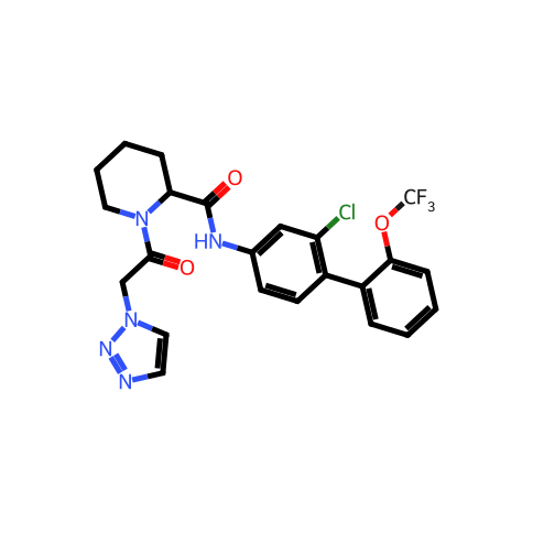 O=C(Nc1ccc(-c2ccccc2OC(F)(F)F)c(Cl)c1)C1CCCCN1C(=O)Cn1ccnn1